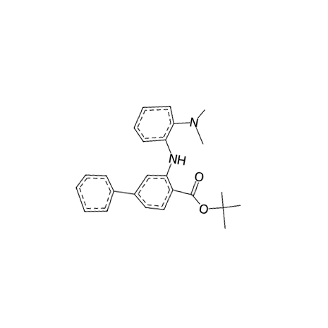 CN(C)c1ccccc1Nc1cc(-c2ccccc2)ccc1C(=O)OC(C)(C)C